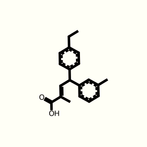 CCc1ccc(C(C=C(C)C(=O)O)c2cccc(C)c2)cc1